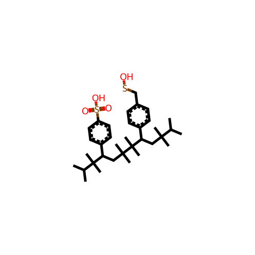 CC(C)C(C)(C)CC(c1ccc(CSO)cc1)C(C)(C)C(C)(C)CC(c1ccc(S(=O)(=O)O)cc1)C(C)(C)C(C)C